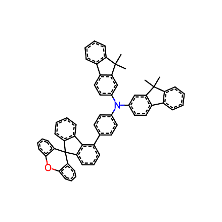 CC1(C)c2ccccc2-c2ccc(N(c3ccc(-c4cccc5c4-c4ccccc4C54c5ccccc5Oc5ccccc54)cc3)c3ccc4c(c3)C(C)(C)c3ccccc3-4)cc21